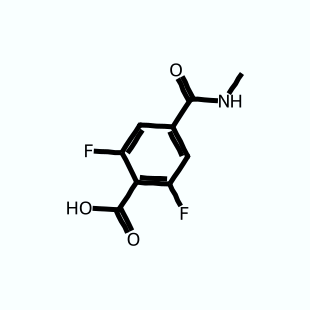 CNC(=O)c1cc(F)c(C(=O)O)c(F)c1